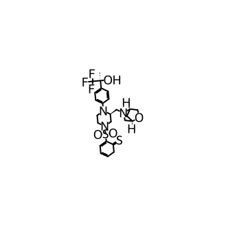 C[C@](O)(c1ccc(N2CCN(S(=O)(=O)C3=CC=CCC3=S)C[C@@H]2CN2C[C@H]3C[C@@H]2CO3)cc1)C(F)(F)F